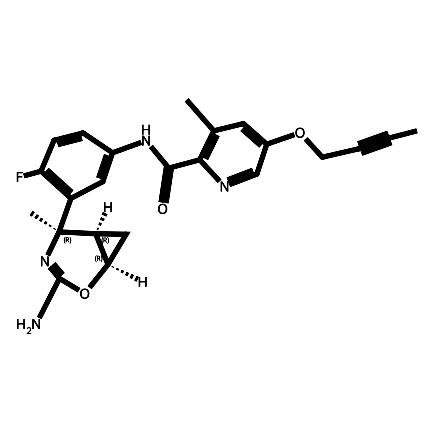 CC#CCOc1cnc(C(=O)Nc2ccc(F)c([C@]3(C)N=C(N)O[C@@H]4C[C@@H]43)c2)c(C)c1